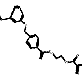 C=C(C)C(=O)OCCOC(=C)c1ccc(COc2cccc(C=O)c2)cc1